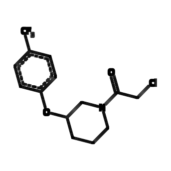 O=C(CCl)N1CCCC(Oc2ccc(C(F)(F)F)cc2)C1